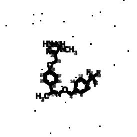 CC(=NOCc1ccc(C(F)(F)F)cc1)c1ccc(OCC2=NNNN2C)cc1